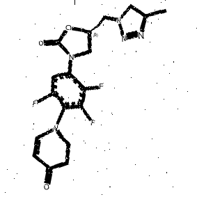 CC1CN(C[C@H]2CN(c3cc(F)c(N4C=CC(=O)CC4)c(F)c3F)C(=O)O2)N=N1